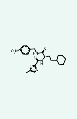 Cc1cnc(C(=O)N[C@H](CCC2CCCCC2)C(=S)NCc2ccc([N+](=O)[O-])cc2)o1